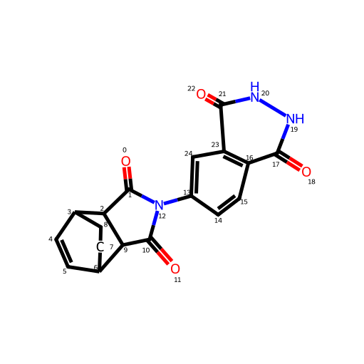 O=C1C2C3C=CC(CC3)C2C(=O)N1c1ccc2c(=O)[nH][nH]c(=O)c2c1